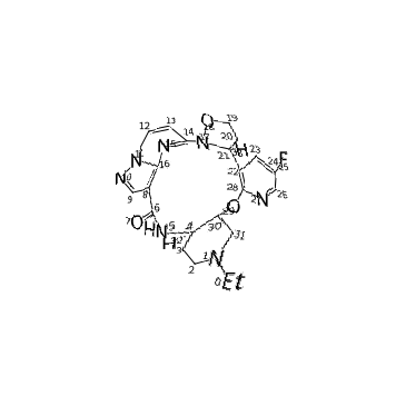 CCN1CC[C@H]2NC(=O)c3cnn4ccc(nc34)N3OCC[C@H]3c3cc(F)cnc3OC2C1